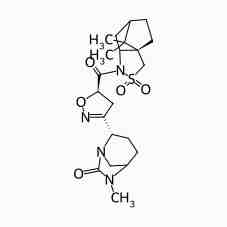 CN1C(=O)N2CC1CC[C@H]2C1=NO[C@@H](C(=O)N2C3CC4CC[C@]3(CS2(=O)=O)C4(C)C)C1